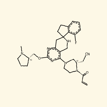 C=CC(=O)N1CCN(c2nc(OC[C@@H]3CCCN3C)nc3c2CNC2(CCc4cccc(F)c42)C3)C[C@@H]1CC#N